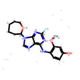 COc1cc(O)ccc1Nc1nc(F)nc2c1ncn2C1CCCCCO1